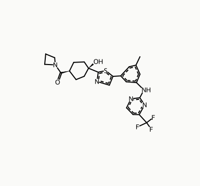 Cc1cc(Nc2nccc(C(F)(F)F)n2)cc(-c2cnc([C@]3(O)CC[C@@H](C(=O)N4CCC4)CC3)s2)c1